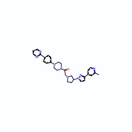 Cc1cc(-c2ccn(C3CCN(CC(=O)N4CCN(c5ccc(-c6ncccn6)cc5)CC4)C3)n2)ccn1